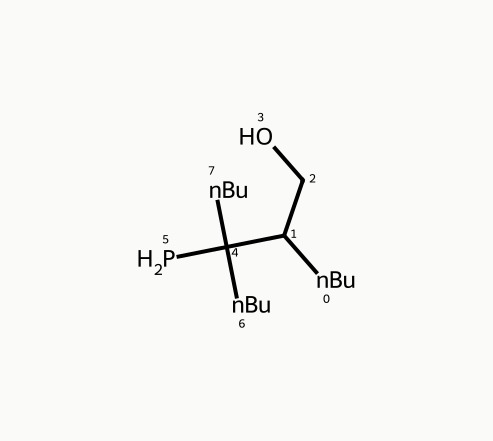 CCCCC(CO)C(P)(CCCC)CCCC